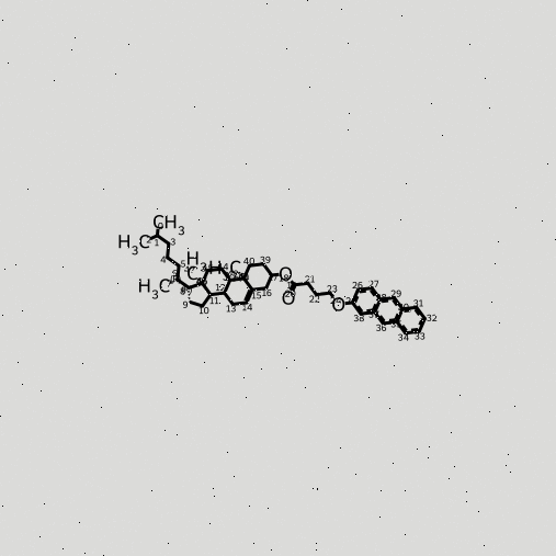 CC(C)CCC[C@@H](C)[C@H]1CCC2C3CC=C4CC(OC(=O)CCCOc5ccc6cc7ccccc7cc6c5)CC[C@]4(C)C3CC[C@@]21C